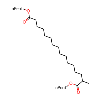 CCCCCOC(=O)CCCCCCCCCCCCCC(C)C(=O)OCCCCC